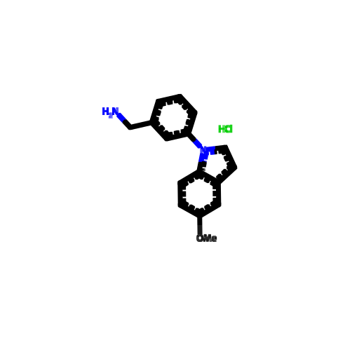 COc1ccc2c(ccn2-c2cccc(CN)c2)c1.Cl